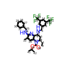 CC[C@@H]1C[C@H](NCc2cc(C(F)(F)F)cc(C(F)(F)F)c2)c2nc(NCc3ccccc3)c(C)cc2N1C(=O)OC(C)C